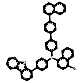 Brc1ccc(N(c2ccc(-c3ccc(-c4cccc5ccccc45)cc3)cc2)c2ccc(-c3cccc4c3oc3ccccc34)cc2)c2ccccc12